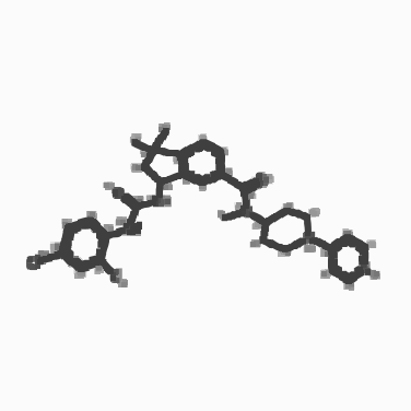 CN(C(=O)c1ccc2c(c1)C(NC(=O)Nc1ccc(Cl)cc1Cl)CC2(C)C)C1CCN(c2ccncc2)CC1